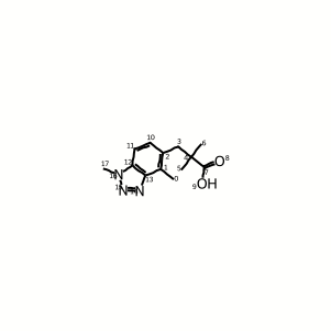 Cc1c(CC(C)(C)C(=O)O)ccc2c1nnn2C